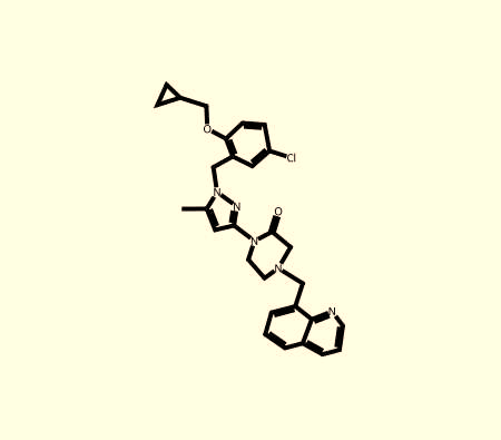 Cc1cc(N2CCN(Cc3cccc4cccnc34)CC2=O)nn1Cc1cc(Cl)ccc1OCC1CC1